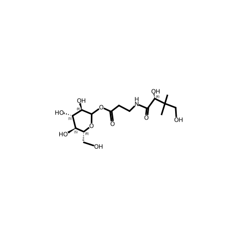 CC(C)(CO)[C@@H](O)C(=O)NCCC(=O)OC1O[C@H](CO)[C@@H](O)[C@H](O)[C@H]1O